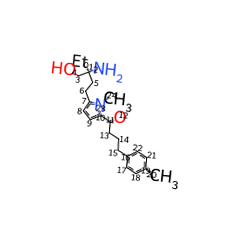 CC[C@](N)(CO)CCc1ccc(C(=O)CCCc2ccc(C)cc2)n1C